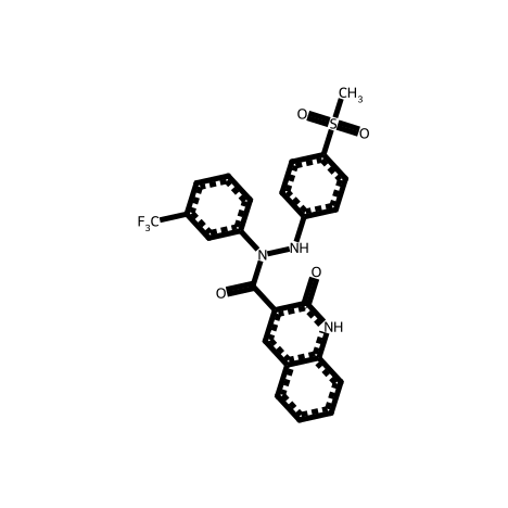 CS(=O)(=O)c1ccc(NN(C(=O)c2cc3ccccc3[nH]c2=O)c2cccc(C(F)(F)F)c2)cc1